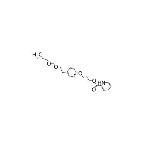 CCCOCOCCc1ccc(OCCCOC(=O)C2=CCC=CN2)cc1